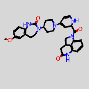 COc1ccc2c(c1)CCN(C1CCN(C3=CC(C(=O)N4CC5CC(=O)Nc6cccc4c65)NC=C3)CC1)C(=O)N2